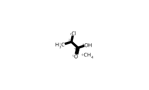 C.CC(Cl)C(=O)O